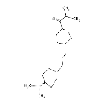 CC(C)C(=O)C1CCN(CCCC2CCN(C(C)C)CC2)CC1